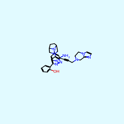 Nc1nnc(-c2ccccc2O)cc1N1CC2CCC(C1)N2c1ccnc(C#CCN2CCn3ccnc3C2)c1